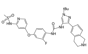 CC(C)(C)n1cc(NC(=O)Nc2ccc(Oc3ccnc(NS(C)(=O)=O)c3)cc2F)c(-c2ccc3c(c2)CCNC3)n1